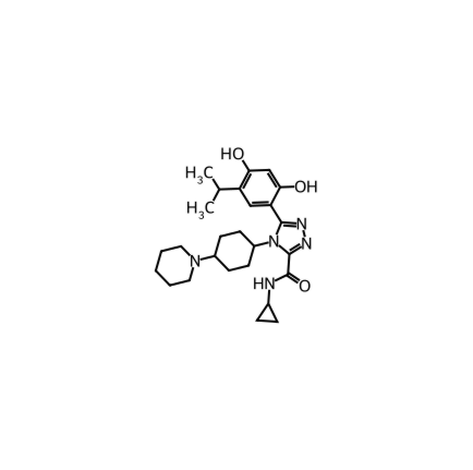 CC(C)c1cc(-c2nnc(C(=O)NC3CC3)n2C2CCC(N3CCCCC3)CC2)c(O)cc1O